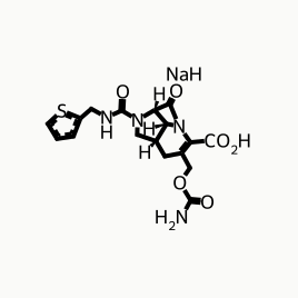 NC(=O)OCC1=C(C(=O)O)N2C(=O)[C@@H]3[C@H]2[C@H](C1)CN3C(=O)NCc1cccs1.[NaH]